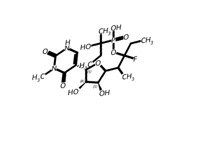 CCC(F)(OP(=O)(O)C(C)(O)CC)C(C)C1O[C@@H](c2c[nH]c(=O)n(C)c2=O)[C@H](O)[C@@H]1O